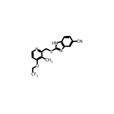 Cc1c(OCC(F)(F)F)ccnc1CSc1nc2cc(C#N)ccc2[nH]1